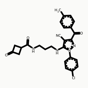 Cc1ccc(C(=O)c2nn(-c3ccc(Cl)cc3)c(NCCCNC(=O)C3CC(=O)C3)c2C#N)cc1